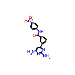 Nc1cc(-c2cccc(C(=O)Nc3ccc([N+](=O)[O-])cc3)c2)nc(N)n1